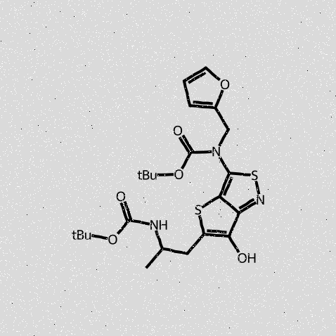 CC(Cc1sc2c(N(Cc3ccco3)C(=O)OC(C)(C)C)snc2c1O)NC(=O)OC(C)(C)C